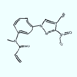 C=CC(=O)N(C)c1cccc(-n2cc(Br)c([N+](=O)[O-])n2)c1